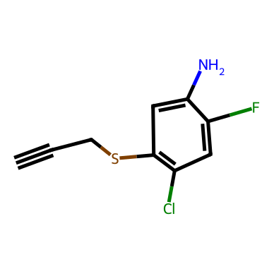 C#CCSc1cc(N)c(F)cc1Cl